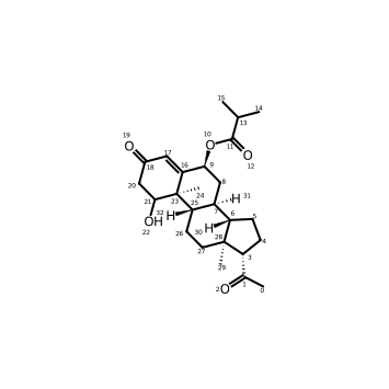 CC(=O)[C@H]1CC[C@H]2[C@@H]3C[C@H](OC(=O)C(C)C)C4=CC(=O)CC(O)[C@]4(C)[C@H]3CC[C@]12C